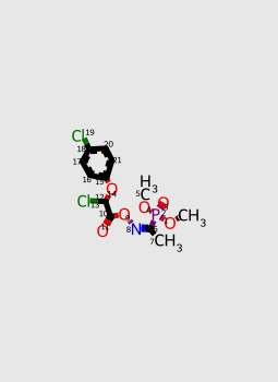 COP(=O)(OC)C(C)=NOC(=O)C(Cl)Oc1ccc(Cl)cc1